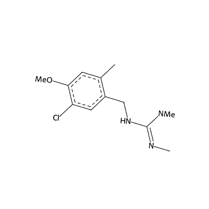 C/N=C(\NC)NCc1cc(Cl)c(OC)cc1C